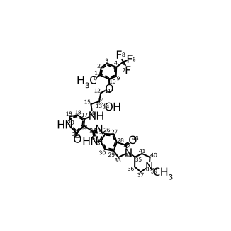 Cc1ccc(C(F)(F)F)cc1OC[C@H](O)CNc1cc[nH]c(=O)c1-c1nc2cc3c(cc2[nH]1)CN(C1CCN(C)CC1)C3=O